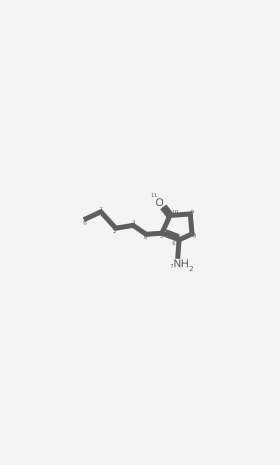 CCCCCC1=C(N)CCC1=O